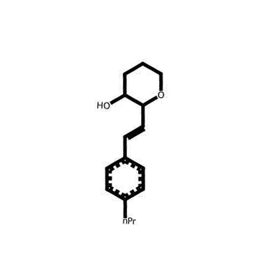 CCCc1ccc(C=CC2OCCCC2O)cc1